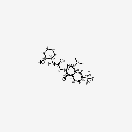 CC(C)c1nn(CC(=O)N[C@@H]2CCCC[C@H]2O)c(=O)c2ccc(C(F)(F)F)cc12